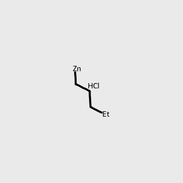 CCCC[CH2][Zn].Cl